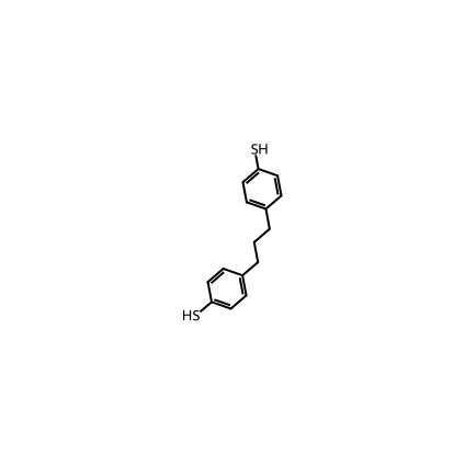 Sc1ccc(CCCc2ccc(S)cc2)cc1